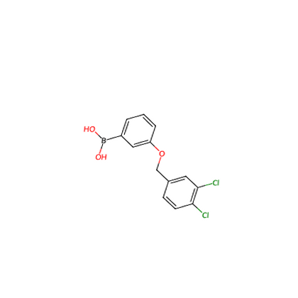 OB(O)c1cccc(OCc2ccc(Cl)c(Cl)c2)c1